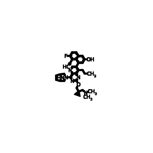 C#Cc1c(F)ccc2cc(O)cc(-c3cnc4c(N5CC6CCC(C5)N6)nc(OCC5(CN(C)C)CC5)nc4c3CCC)c12